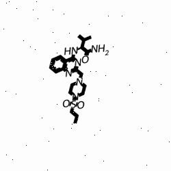 CCCS(=O)(=O)N1CCN(Cc2nc(N[C@H](C(N)=O)C(C)C)c3ccccc3n2)CC1